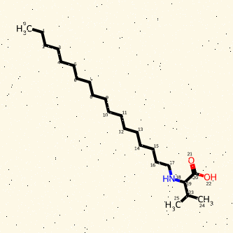 CCCCCCCCCCCCCCCCCCNC(C(=O)O)C(C)C